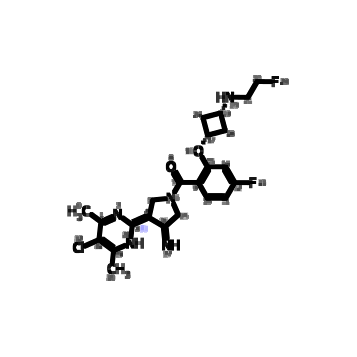 CC1=N/C(=C2\CN(C(=O)c3ccc(F)cc3O[C@H]3C[C@@H](NCCF)C3)CC2=N)NC(C)=C1Cl